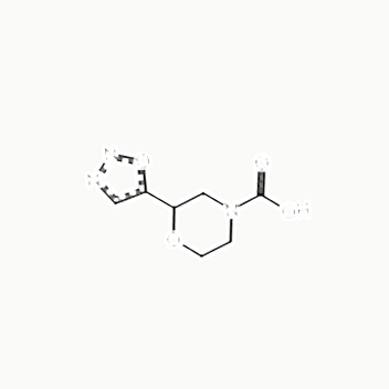 O=C(O)N1CCOC(c2cnno2)C1